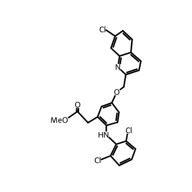 COC(=O)Cc1cc(OCc2ccc3ccc(Cl)cc3n2)ccc1Nc1c(Cl)cccc1Cl